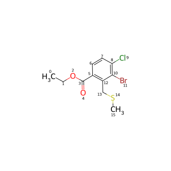 CCOC(=O)c1ccc(Cl)c(Br)c1CSC